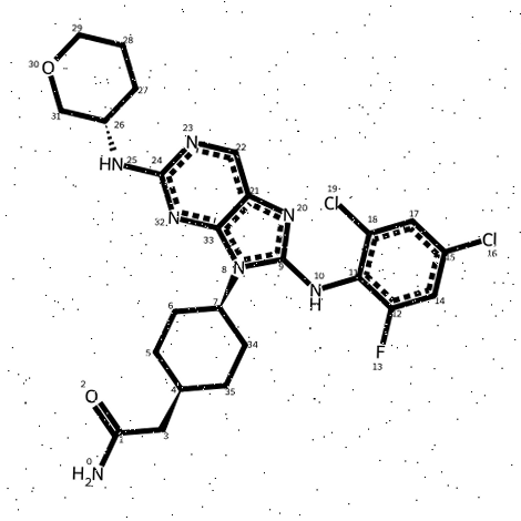 NC(=O)C[C@H]1CC[C@@H](n2c(Nc3c(F)cc(Cl)cc3Cl)nc3cnc(N[C@H]4CCCOC4)nc32)CC1